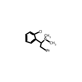 CC(C)CC(c1ccccc1Cl)N(C)C